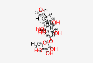 C[C@@H]1O[C@@H](O[C@H]2C[C@@H](O)[C@]3(CO)[C@H]4[C@H](O)C[C@]5(C)[C@@H](C6=CCOC6)CC[C@]5(O)[C@@H]4CC[C@]3(O)C2)[C@H](O)[C@H](O)[C@H]1O